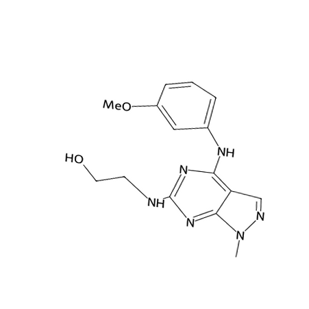 COc1cccc(Nc2nc(NCCO)nc3c2cnn3C)c1